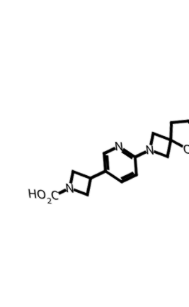 O=C(O)N1CC(c2ccc(N3CC4(CCCO4)C3)nc2)C1